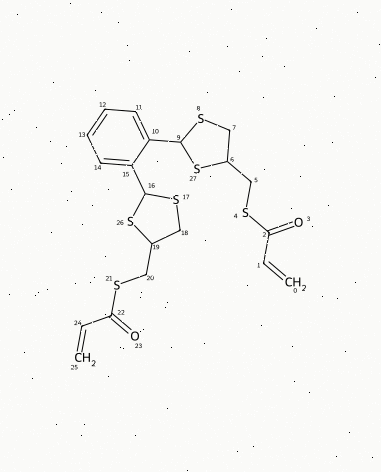 C=CC(=O)SCC1CSC(c2ccccc2C2SCC(CSC(=O)C=C)S2)S1